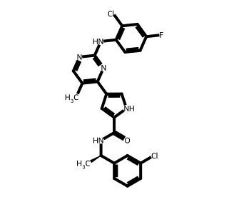 Cc1cnc(Nc2ccc(F)cc2Cl)nc1-c1c[nH]c(C(=O)N[C@H](C)c2cccc(Cl)c2)c1